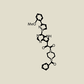 COc1ccccc1-c1ccn(-c2ncnc3c(C(=O)C(=O)N4CCN(C(=O)c5ccccc5)CC4)c[nH]c23)n1